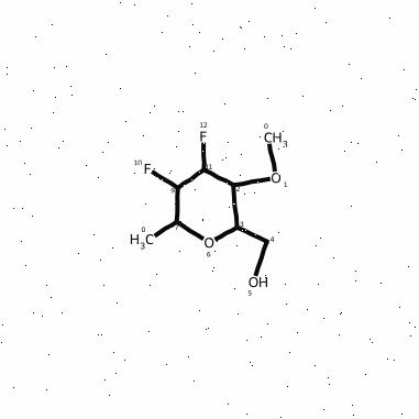 COC1C(CO)OC(C)C(F)C1F